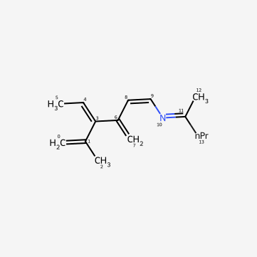 C=C(C)/C(=C\C)C(=C)/C=C\N=C(/C)CCC